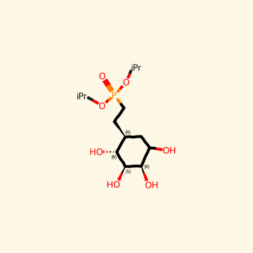 CC(C)OP(=O)(CC[C@H]1CC(O)[C@@H](O)[C@@H](O)[C@@H]1O)OC(C)C